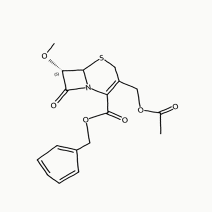 CO[C@H]1C(=O)N2C(C(=O)OCc3ccccc3)=C(COC(C)=O)CSC12